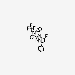 O=C(c1nc2n(n1)[C@H](c1ccccc1)C[C@@H]2F)N(CC(F)(F)F)C1COC1